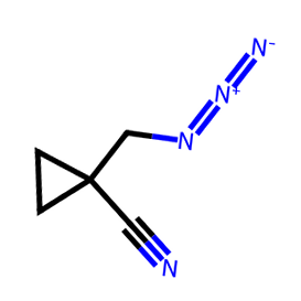 N#CC1(CN=[N+]=[N-])CC1